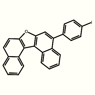 Ic1ccc(-c2cc3oc4ccc5ccccc5c4c3c3ccccc23)cc1